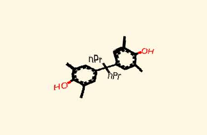 CCCC(CCC)(c1cc(C)c(O)c(C)c1)c1cc(C)c(O)c(C)c1